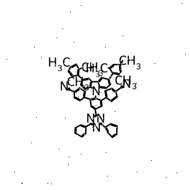 Cc1cc(C)c(-c2ccc3c(c2)c2cc(-c4c(C)cc(C)cc4C)ccc2n3-c2c(-c3ccc(C#N)cc3)cc(-c3nc(-c4ccccc4)nc(-c4ccccc4)n3)cc2-c2ccc(C#N)cc2)c(C)c1